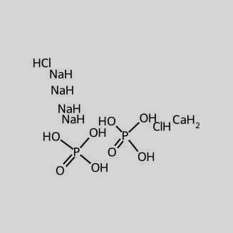 Cl.Cl.O=P(O)(O)O.O=P(O)(O)O.[CaH2].[NaH].[NaH].[NaH].[NaH]